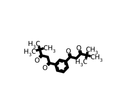 CC(C)(C)C(=O)CC(=O)c1cccc(C(=O)CC(=O)C(C)(C)C)c1